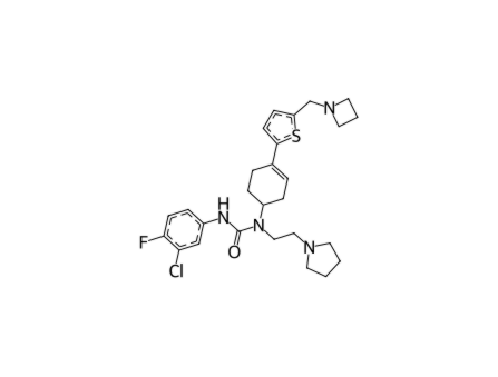 O=C(Nc1ccc(F)c(Cl)c1)N(CCN1CCCC1)C1CC=C(c2ccc(CN3CCC3)s2)CC1